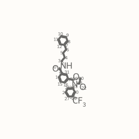 O=C(NCCCCc1ccccc1)c1cccc(C2OCC(=O)N2c2cccc(C(F)(F)F)c2)c1